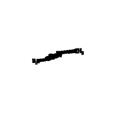 CCCCCCCCCCCCc1cnc(-c2ccc(OC(=O)[C@H]3CC[C@H](CCCCCCC)CC3)cc2)nc1